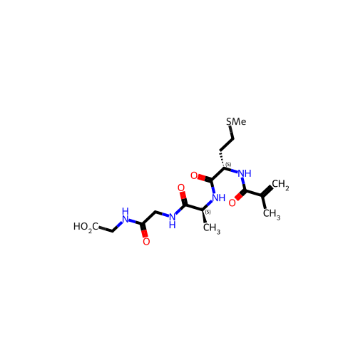 C=C(C)C(=O)N[C@@H](CCSC)C(=O)N[C@@H](C)C(=O)NCC(=O)NCC(=O)O